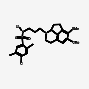 CCN(CCCN1CCc2cc(OC)c(OC)c3c2C1CC3)S(=O)(=O)c1cc(C)c(Cl)cc1C